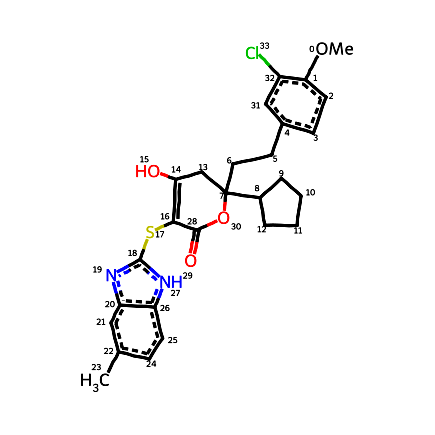 COc1ccc(CCC2(C3CCCC3)CC(O)=C(Sc3nc4cc(C)ccc4[nH]3)C(=O)O2)cc1Cl